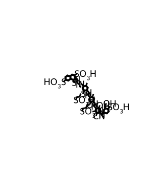 Cc1cc(N=Nc2cc(OCCCS(=O)(=O)O)c(N=Nc3c(C)c(C#N)c4nc5ccc(S(=O)(=O)O)c(CO)c5n4c3O)cc2C)c(SCCCS(=O)(=O)O)cc1N=Nc1nc2c(S(=O)(=O)O)cc3ccc(S(=O)(=O)O)cc3c2s1